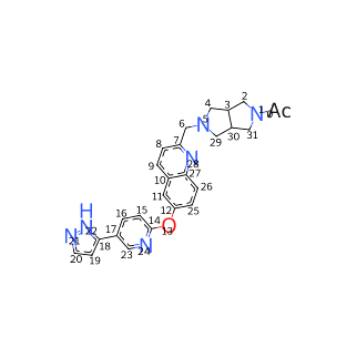 CC(=O)N1CC2CN(Cc3ccc4cc(Oc5ccc(-c6ccn[nH]6)cn5)ccc4n3)CC2C1